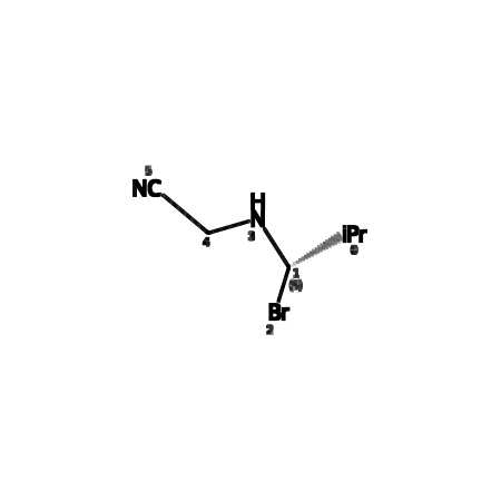 CC(C)[C@H](Br)NCC#N